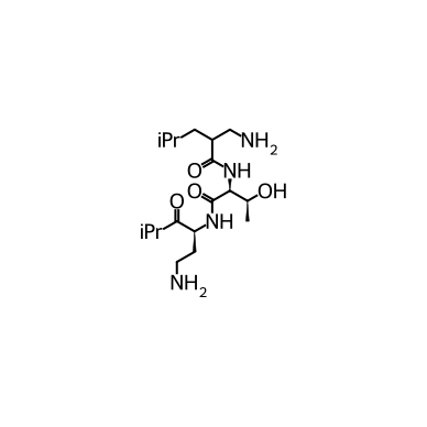 CC(C)CC(CN)C(=O)N[C@H](C(=O)N[C@@H](CCN)C(=O)C(C)C)[C@H](C)O